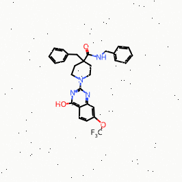 O=C(NCc1ccccc1)C1(Cc2ccccc2)CCN(c2nc(O)c3ccc(OC(F)(F)F)cc3n2)CC1